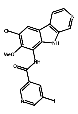 COc1c(Cl)cc2c([nH]c3cnccc32)c1NC(=O)c1cncc(I)c1